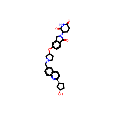 O=C1CCC(N2Cc3cc(O[C@H]4CCN(Cc5ccc6nc([C@H]7CC[C@@H](O)C7)ccc6c5)C4)ccc3C2=O)C(=O)N1